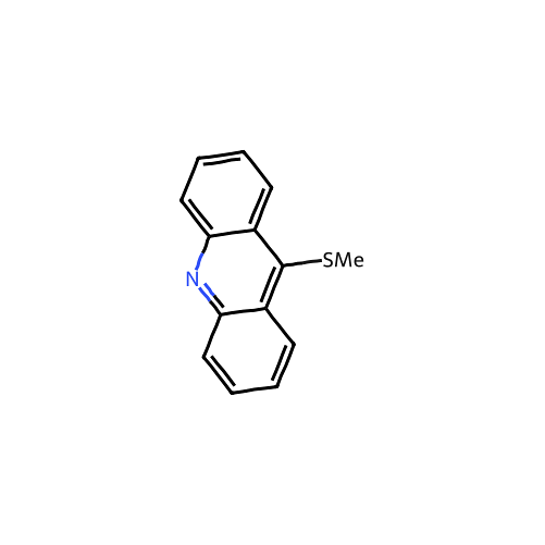 CSc1c2ccccc2nc2ccccc12